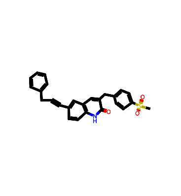 CS(=O)(=O)c1ccc(Cc2cc3cc(C#CCc4ccccc4)ccc3[nH]c2=O)cc1